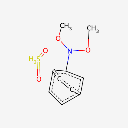 CON(OC)c1cc2ccc1cc2.O=[SH2]=O